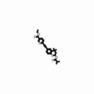 CCOC(=O)c1ccc(C#Cc2ccc3c(c2)C(C)(C)CC(OC(=O)C(C)C)S3)nc1